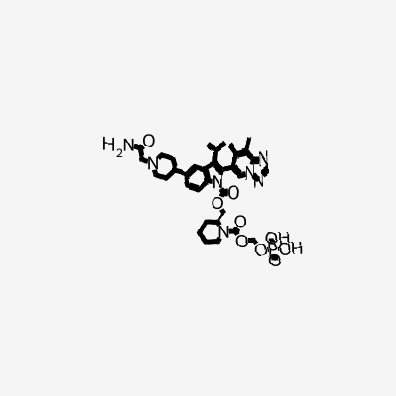 Cc1c(-c2c(C(C)C)c3cc(C4CCN(CC(N)=O)CC4)ccc3n2C(=O)OC[C@@H]2CCCCN2C(=O)OCOP(=O)(O)O)cn2ncnc2c1C